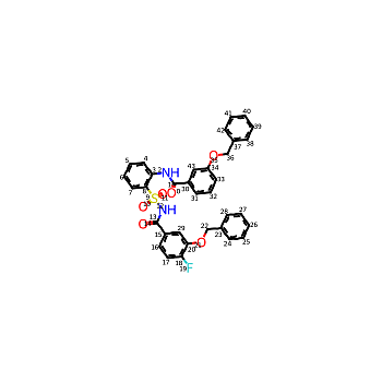 O=C(Nc1ccccc1S(=O)(=O)NC(=O)c1ccc(F)c(OCc2ccccc2)c1)c1cccc(OCc2ccccc2)c1